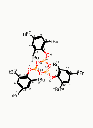 CCCc1cc(C(C)(C)C)c(OP2OP(Oc3c(C(C)(C)C)cc(CCC)cc3C(C)(C)C)OP(Oc3c(C(C)(C)C)cc(CCC)cc3C(C)(C)C)O2)c(C(C)(C)C)c1